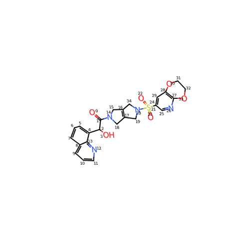 O=C(C(O)c1cccc2cccnc12)N1CC2=C(C1)CN(S(=O)(=O)c1cnc3c(c1)OCCO3)C2